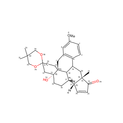 COc1ccc2c(c1)C[C@]13CCC4(C[C@]1(O)CC[C@@H]1C3C2C[C@]2(C)C(=O)C=C[C@H]12)OCC(C)(C)CO4